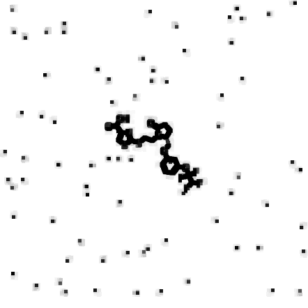 O=C(O)c1csc(SCCN2C(=O)CC[C@@H]2COc2cccc(OC(F)(F)C(F)F)c2)n1